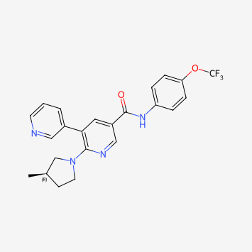 C[C@@H]1CCN(c2ncc(C(=O)Nc3ccc(OC(F)(F)F)cc3)cc2-c2cccnc2)C1